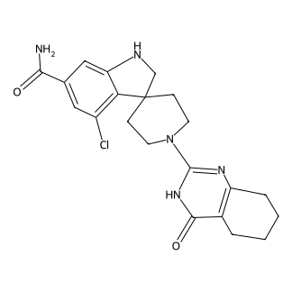 NC(=O)c1cc(Cl)c2c(c1)NCC21CCN(c2nc3c(c(=O)[nH]2)CCCC3)CC1